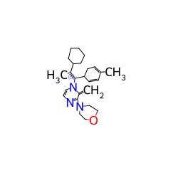 C=C1C(N2CCOCC2)=NC=CN1/C(=C(\C)C1CCCCC1)C1C=CC(C)=CC1